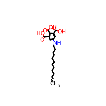 CCCCCCCCCCCCCNc1cc(C(=O)O)c(C(=O)O)c(C(=O)O)c1